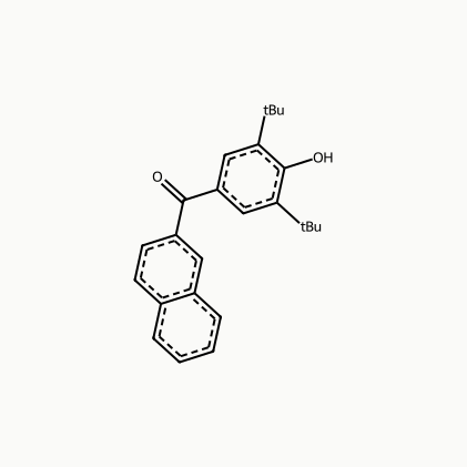 CC(C)(C)c1cc(C(=O)c2ccc3ccccc3c2)cc(C(C)(C)C)c1O